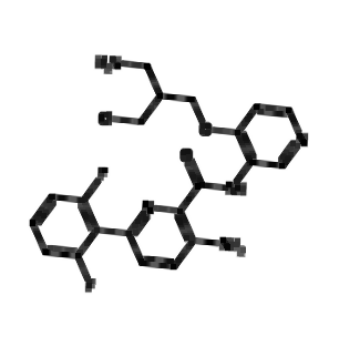 NCC(CCl)COc1ccncc1NC(=O)c1nc(-c2c(F)cccc2F)ccc1N